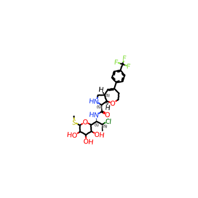 CSC1OC([C@H](NC(=O)[C@H]2NC[C@@H]3C=C(c4ccc(C(F)(F)F)cc4)CCO[C@@H]23)[C@H](C)Cl)C(O)C(O)C1O